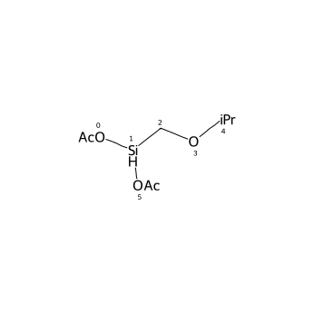 CC(=O)O[SiH](COC(C)C)OC(C)=O